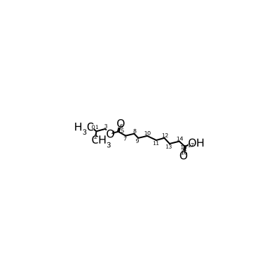 CC(C)COC(=O)CCCCCCCCC(=O)O